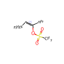 CCCCCC/C=C(/CCC)OS(=O)(=O)C(F)(F)F